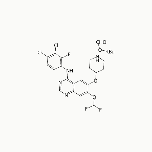 CC(C)(C)OC=O.Fc1c(Nc2ncnc3cc(OC(F)F)c(OC4CCNCC4)cc23)ccc(Cl)c1Cl